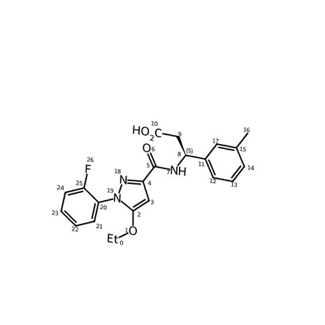 CCOc1cc(C(=O)N[C@@H](CC(=O)O)c2cccc(C)c2)nn1-c1ccccc1F